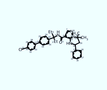 CCC(CC)(NC(=O)c1cnn2c1NC(c1ccccc1)CC2(C)C)c1ccc(-c2ccc(Cl)cc2)cc1